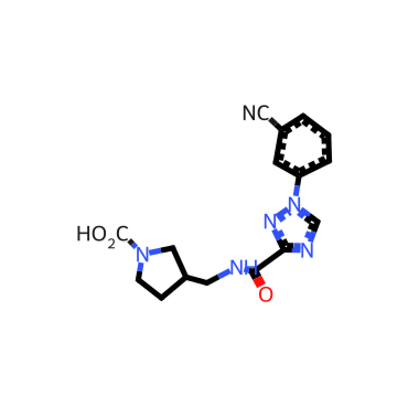 N#Cc1cccc(-n2cnc(C(=O)NCC3CCN(C(=O)O)C3)n2)c1